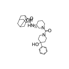 O=C(N1CCC(O)(c2ccccc2)CC1)N1CCC[C@H](NC(=O)C23CC4CC(C2)C(O)C(C4)C3)C1